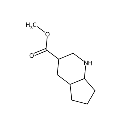 COC(=O)C1CNC2CCCC2C1